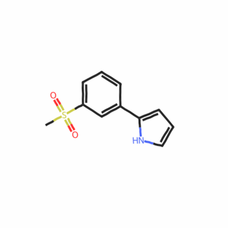 CS(=O)(=O)c1cccc(-c2ccc[nH]2)c1